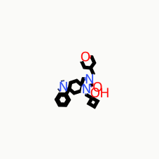 CN(C)[C@]1(c2ccccc2)CC[C@@]2(CC1)CN(CC1CCOCC1)C(=O)N2CC1(O)CCC1